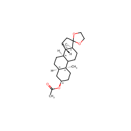 CC(=O)O[C@@H]1CC[C@]2(C)C3CC[C@@]4(C)[C@@H](CCC45OCCO5)[C@@H]3CC[C@@H]2C1